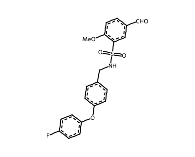 COc1ccc(C=O)cc1S(=O)(=O)NCc1ccc(Oc2ccc(F)cc2)cc1